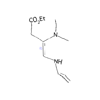 C=CN/C=C(/CC(=O)OCC)N(C)C